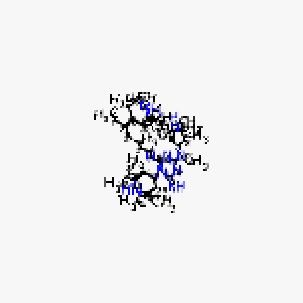 CCC(CCCCCCN(C(=N)/N=C(\N)N(C)C1CC(C)(C)NC(C)(C)C1)C1CC(C)(C)NC(C)(C)C1)C1CC(C)(C)NC(C)(C)C1